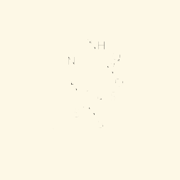 CCSN(SCC)C(=S)c1ncnc(NC)c1[N+](=O)[O-]